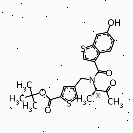 CC(=O)[C@@H](C)N(Cc1csc(C(=O)OC(C)(C)C)c1)C(=O)c1csc2cc(O)ccc12